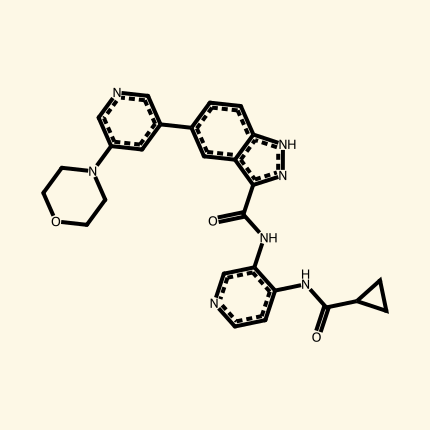 O=C(Nc1cnccc1NC(=O)C1CC1)c1n[nH]c2ccc(-c3cncc(N4CCOCC4)c3)cc12